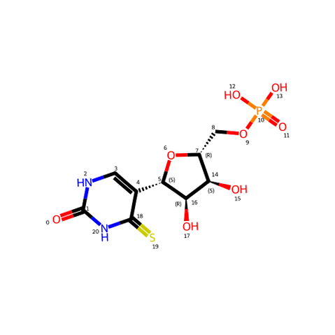 O=c1[nH]cc([C@@H]2O[C@H](COP(=O)(O)O)[C@@H](O)[C@H]2O)c(=S)[nH]1